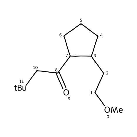 COCCC1CCCC1C(=O)CC(C)(C)C